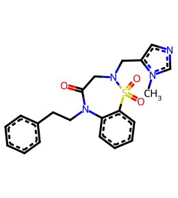 Cn1cncc1CN1CC(=O)N(CCc2ccccc2)c2ccccc2S1(=O)=O